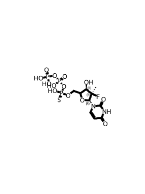 C[C@@]1(F)[C@H](O)C(COP(O)(=S)OP(=O)(O)OP(=O)(O)O)O[C@H]1n1ccc(=O)[nH]c1=O